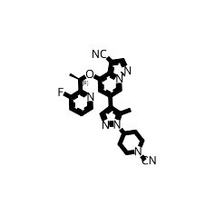 Cc1c(-c2cc(O[C@H](C)c3ncccc3F)c3c(C#N)cnn3c2)cnn1C1CCN(C#N)CC1